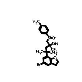 Cc1ccc([S+]([O-])C[C@](O)(CC(C)(C)c2cc(Br)cc3c2OCC3)C(F)(F)F)cc1